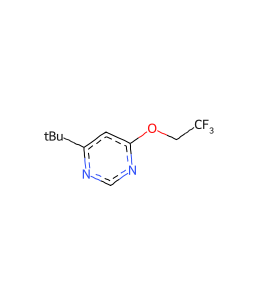 CC(C)(C)c1cc(OCC(F)(F)F)ncn1